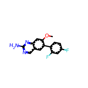 COc1cc2nc(N)ncc2cc1-c1ccc(F)cc1F